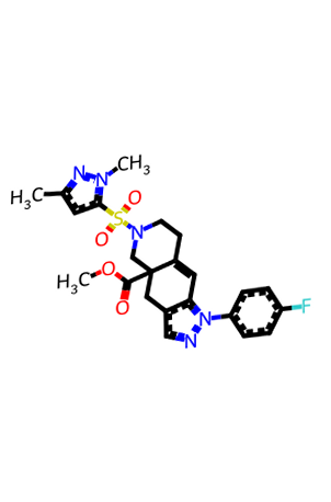 COC(=O)C12Cc3cnn(-c4ccc(F)cc4)c3C=C1CCN(S(=O)(=O)c1cc(C)nn1C)C2